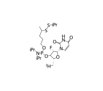 [2H]C[C@H]1O[C@@H](n2ccc(=O)[nH]c2=O)[C@@H](F)C1OP(OCCCC(C)SSC(C)C)N(C(C)C)C(C)C